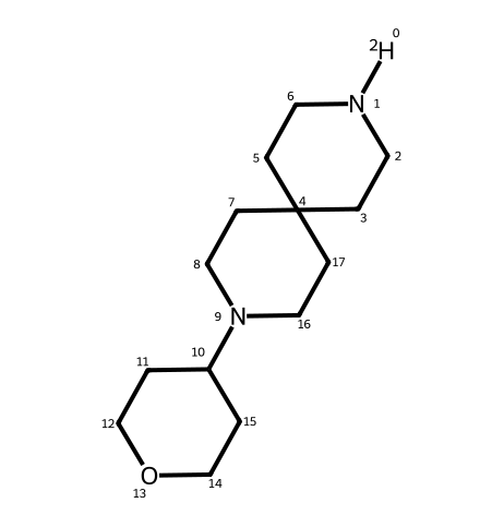 [2H]N1CCC2(CC1)CCN(C1CCOCC1)CC2